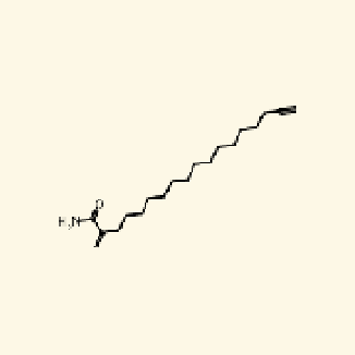 C#CCCCCCCCCCCCCCCC(=C)C(N)=O